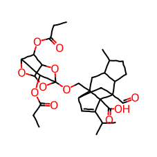 CCC(=O)OC1C2OC3(OCC45CC6C(C)CCC6C6(C=O)CC4C=C(C(C)C)C65C(=O)O)OC2OC1C3OC(=O)CC